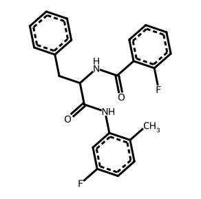 Cc1ccc(F)cc1NC(=O)C(Cc1ccccc1)NC(=O)c1ccccc1F